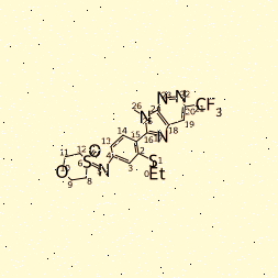 CCSc1cc(N=S2(=O)CCOCC2)ccc1-c1nc2cc(C(F)(F)F)nnc2n1C